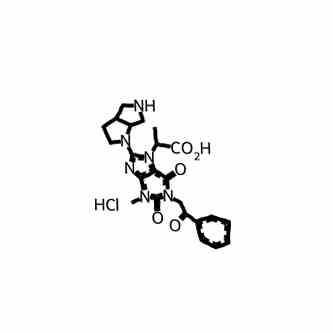 CC(C(=O)O)n1c(N2CCC3CNCC32)nc2c1c(=O)n(CC(=O)c1ccccc1)c(=O)n2C.Cl